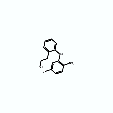 O=[N+]([O-])c1ccc(Cl)cc1Nc1ccccc1CCO